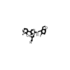 Cn1nccc(-c2cnc(NCc3c(F)ccc4c3CCO4)n3cc(C#N)nc23)c1=O